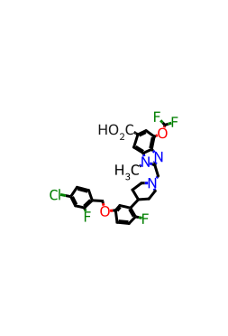 Cn1c(CN2CCC(c3cc(OCc4ccc(Cl)cc4F)ccc3F)CC2)nc2c(OC(F)F)cc(C(=O)O)cc21